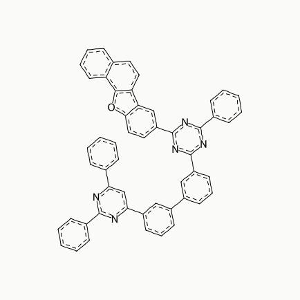 c1ccc(-c2cc(-c3cccc(-c4cccc(-c5nc(-c6ccccc6)nc(-c6ccc7oc8c9ccccc9ccc8c7c6)n5)c4)c3)nc(-c3ccccc3)n2)cc1